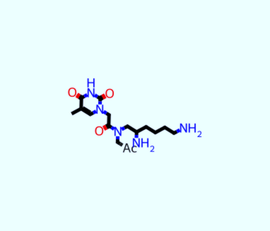 CC(=O)CN(CC(N)CCCCN)C(=O)Cn1cc(C)c(=O)[nH]c1=O